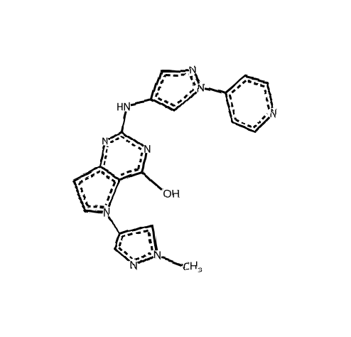 Cn1cc(-n2ccc3nc(Nc4cnn(-c5ccncc5)c4)nc(O)c32)cn1